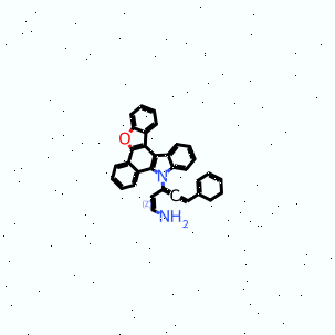 N/C=C\C(=C=CC1=CC=CCC1)n1c2ccccc2c2c3c4ccccc4oc3c3ccccc3c21